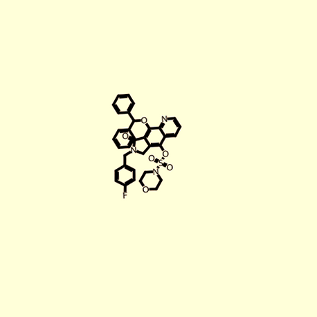 O=C1c2c(c(OS(=O)(=O)N3CCOCC3)c3cccnc3c2OC(c2ccccc2)c2ccccc2)CN1Cc1ccc(F)cc1